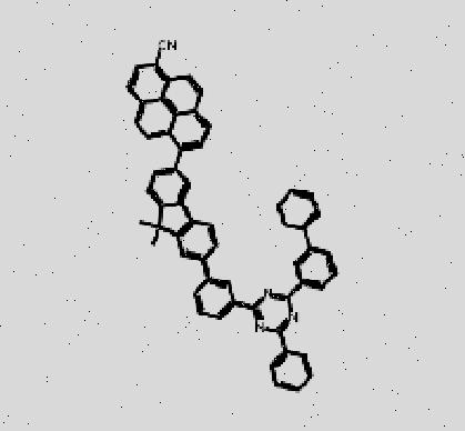 CC1(C)c2ccc(-c3ccc4ccc5c(C#N)ccc6ccc3c4c65)cc2-c2ccc(-c3cccc(-c4nc(-c5ccccc5)nc(-c5cccc(C6=CC=CCC6)c5)n4)c3)cc21